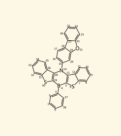 c1ccc(B2c3sc4ccccc4c3N(c3ccc4c(c3)oc3ccccc34)c3c2sc2ccccc32)cc1